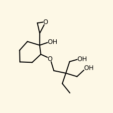 CCC(CO)(CO)COC1CCCCC1(O)C1CO1